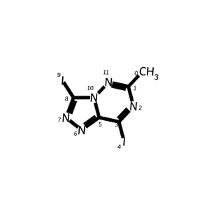 Cc1nc(I)c2nnc(I)n2n1